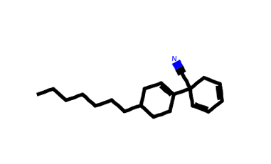 CCCCCCCC1CC=C(C2(C#N)C=CC=CC2)CC1